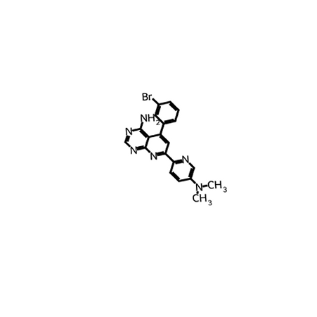 CN(C)c1ccc(-c2cc(-c3cccc(Br)c3)c3c(N)ncnc3n2)nc1